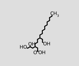 CCCCCCCCCCCC(CCO)CCCC(CC(=O)O)CC(O)CO